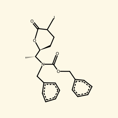 C[C@H]([C@@H]1CCC(I)C(=O)O1)N(Cc1ccccc1)C(=O)OCc1ccccc1